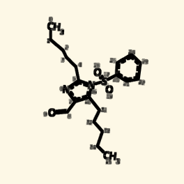 CCCCCc1nc(C=O)c(CCCCC)n1S(=O)(=O)c1ccccc1